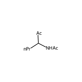 CCCC(NC(C)=O)C(C)=O